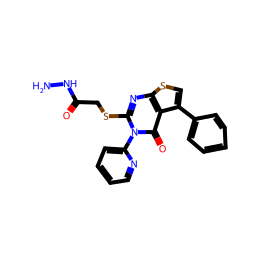 NNC(=O)CSc1nc2scc(-c3ccccc3)c2c(=O)n1-c1ccccn1